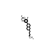 C/C=C/CCC1CCC2CC(c3cc(F)c(OC(F)F)c(F)c3)CCC2C1